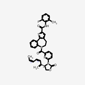 C=C(/C=C\C=C/C)[C@@H]1COC(=O)N1c1cccc(C(=O)N2CCc3cc(C(=O)Nc4c(C)cccc4F)sc3-c3ccccc32)n1